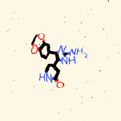 Nc1nc(-c2ccc3c(c2)OCCO3)c(-c2cc[nH]c(=O)c2)[nH]1